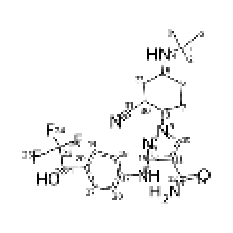 CC(C)(C)NC1CCC(n2cc(C(N)=O)c(Nc3ccc(C(O)C(F)(F)F)cc3)n2)C(C#N)C1